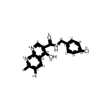 Cc1nc2ncc(C(=O)NCc3ccc(Cl)cc3)c(O)c2cc1I